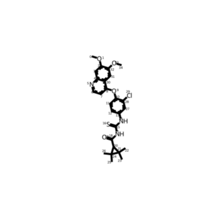 COc1cc2nccc(Oc3ccc(NC(=S)NC(=O)C4C(C)(C)C4(C)C)cc3Cl)c2cc1OC